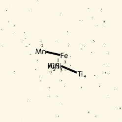 [AlH3].[Mn][Fe].[SiH3][Ti]